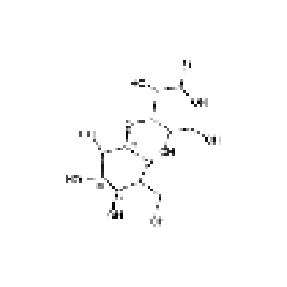 CCC(O)C(O)C(O[C@H]1OC(CO)[C@@H](O)[C@H](O)C1O)C(O)CO